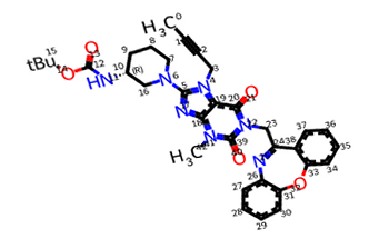 CC#CCn1c(N2CCC[C@@H](NC(=O)OC(C)(C)C)C2)nc2c1c(=O)n(CC1=Nc3ccccc3Oc3ccccc31)c(=O)n2C